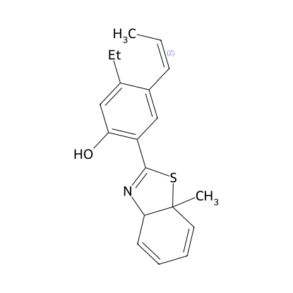 C/C=C\c1cc(C2=NC3C=CC=CC3(C)S2)c(O)cc1CC